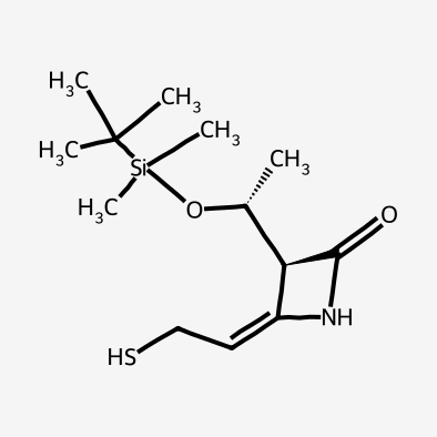 C[C@@H](O[Si](C)(C)C(C)(C)C)[C@H]1C(=O)N/C1=C/CS